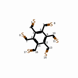 S=Cc1c(C=S)c(C=S)c(C=S)c(C=S)c1C=S